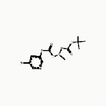 CN(OC(=O)Oc1cncc(Br)c1)OC(=O)OC(C)(C)C